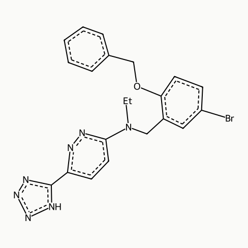 CCN(Cc1cc(Br)ccc1OCc1ccccc1)c1ccc(-c2nnn[nH]2)nn1